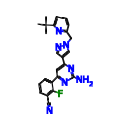 CC(C)(C)c1cccc(Cn2cc(-c3cc(-c4cccc(C#N)c4F)nc(N)n3)cn2)n1